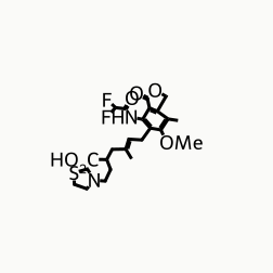 COc1c(C)c2c(c(NC(=O)C(F)F)c1C/C=C(\C)CC(CCN1CCSC1)C(=O)O)C(=O)OC2